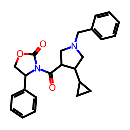 O=C1OCC(c2ccccc2)N1C(=O)C1CN(Cc2ccccc2)CC1C1CC1